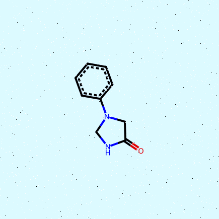 O=C1CN(c2ccccc2)CN1